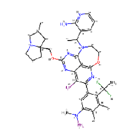 BN(P)c1cc(-c2nc3c4c(nc(OC[C@@]56CCCN5CC(C)C6)nc4c2P)N(C(C)c2cccnc2N)CCO3)c(C(B)(F)F)c(C)c1C